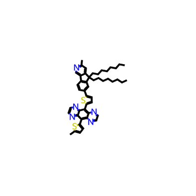 CCCCCCCCC1(CCCCCCCC)c2cc(-c3ccc(-c4c5nccnc5c(-c5ccc(C)s5)c5nccnc45)s3)ccc2-c2cnc(C)cc21